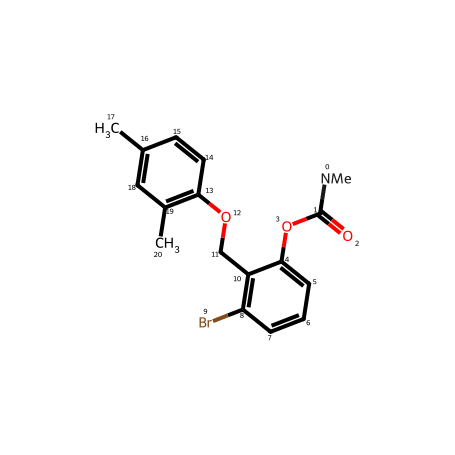 CNC(=O)Oc1cccc(Br)c1COc1ccc(C)cc1C